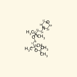 CC(C)OC(C)(C)CCOC(C)(C)CCN1CCOCC1